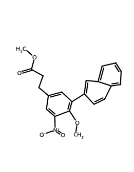 COC(=O)CCc1cc(-c2ccc3ccccc3c2)c(OC)c([N+](=O)[O-])c1